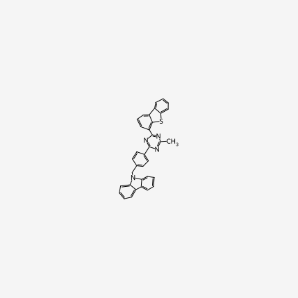 Cc1nc(-c2ccc(Cn3c4ccccc4c4ccccc43)cc2)nc(-c2cccc3c2sc2ccccc23)n1